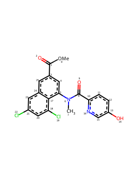 COC(=O)c1cc(N(C)C(=O)c2ccc(O)cn2)c2c(Cl)cc(Cl)cc2c1